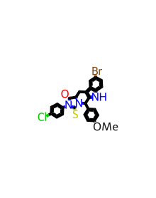 COc1ccc(C2c3[nH]c4ccc(Br)cc4c3CC3C(=O)N(c4ccc(Cl)cc4)C(=S)N32)cc1